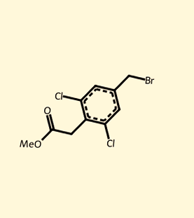 COC(=O)Cc1c(Cl)cc(CBr)cc1Cl